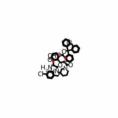 COC[C@H](N)C(=O)N[C@@]1(Cc2ccc(Cl)cc2)CCCN(C(=O)[C@@H](CC(=O)OC(c2ccccc2)(c2ccccc2)c2ccccc2Cl)Cc2ccccc2)C1